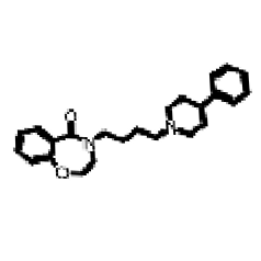 O=C1c2ccccc2OCCN1CCCCN1CCC(c2ccccc2)CC1